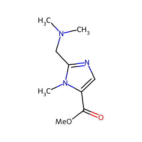 COC(=O)c1cnc(CN(C)C)n1C